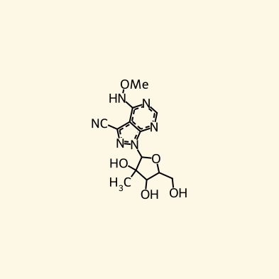 CONc1ncnc2c1c(C#N)nn2C1OC(CO)C(O)C1(C)O